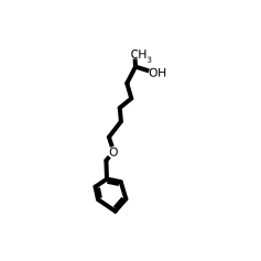 CC(O)CCCCCOCc1ccccc1